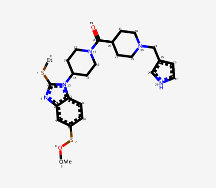 CCSc1nc2cc(SOOC)ccc2n1C1CCN(C(=O)C2CCN(Cc3cc[nH]c3)CC2)CC1